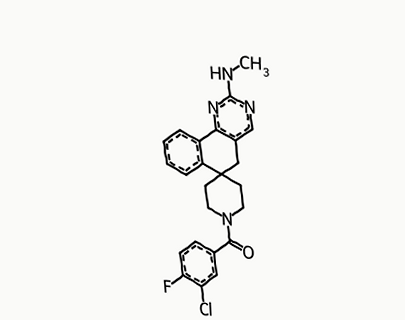 CNc1ncc2c(n1)-c1ccccc1C1(CCN(C(=O)c3ccc(F)c(Cl)c3)CC1)C2